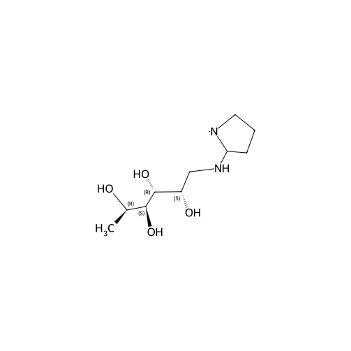 C[C@@H](O)[C@H](O)[C@H](O)[C@@H](O)CNC1CCC[N]1